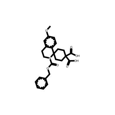 COc1ccc2c(c1)CCN(C(=O)OCc1ccccc1)C21CCC(C(=O)O)(C(=O)O)CC1